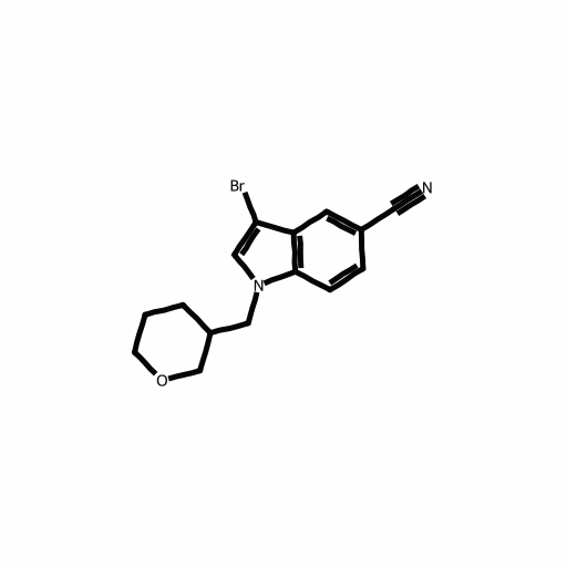 N#Cc1ccc2c(c1)c(Br)cn2CC1CCCOC1